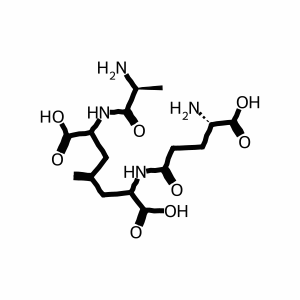 C=C(CC(NC(=O)CC[C@H](N)C(=O)O)C(=O)O)CC(NC(=O)[C@H](C)N)C(=O)O